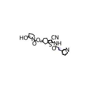 N#Cc1c(NC(=O)/C=C/c2cccnc2)sc2c1CC[C@H](COC(=O)N1CCC[C@@H](O)C1)C2